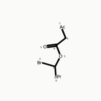 CCCC(Br)OC(=O)CC(C)=O